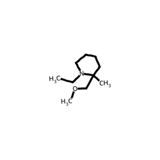 CCN1CCCCC1(C)COC